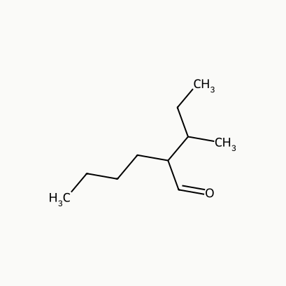 CCCCC(C=O)C(C)CC